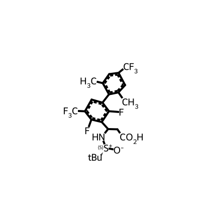 Cc1cc(C(F)(F)F)cc(C)c1-c1cc(C(F)(F)F)c(F)c(C(CC(=O)O)N[S@+]([O-])C(C)(C)C)c1F